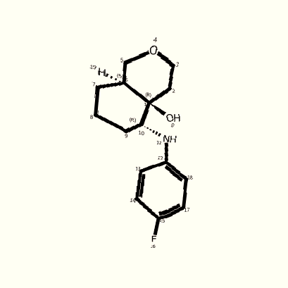 O[C@]12CCOC[C@@H]1CCC[C@H]2Nc1ccc(F)cc1